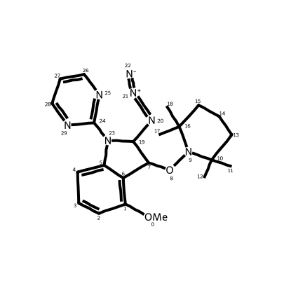 COc1cccc2c1C(ON1C(C)(C)CCCC1(C)C)C(N=[N+]=[N-])N2c1ncccn1